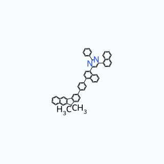 CC1(C)c2ccc(-c3ccc(-c4ccc(-c5cc(-c6cccc7ccccc67)nc(-c6ccccc6)n5)c5ccccc45)cc3)cc2-c2cc3ccccc3cc21